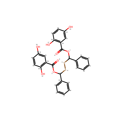 O=C(OC(SSC(OC(=O)c1cc(O)ccc1O)c1ccccc1)c1ccccc1)c1cc(O)ccc1O